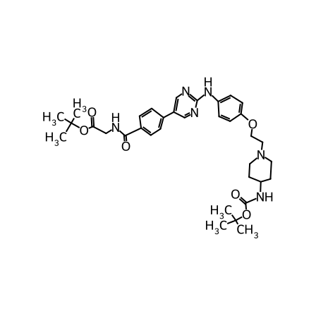 CC(C)(C)OC(=O)CNC(=O)c1ccc(-c2cnc(Nc3ccc(OCCN4CCC(NC(=O)OC(C)(C)C)CC4)cc3)nc2)cc1